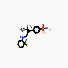 CC1(C)C(CNC2CCCCC2(F)F)C1c1ccc(S(N)(=O)=O)cc1